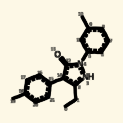 CCc1[nH]n(-c2cccc(C)c2)c(=O)c1-c1ccc(C)cc1